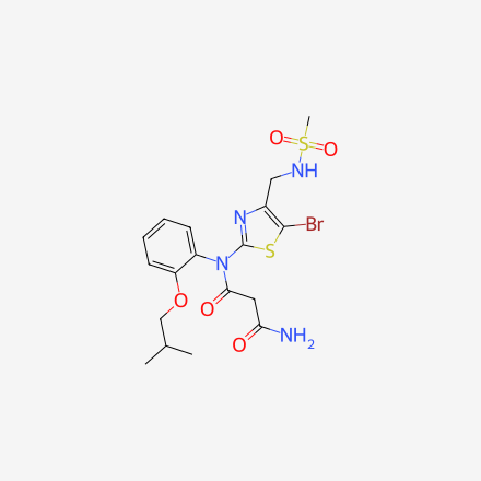 CC(C)COc1ccccc1N(C(=O)CC(N)=O)c1nc(CNS(C)(=O)=O)c(Br)s1